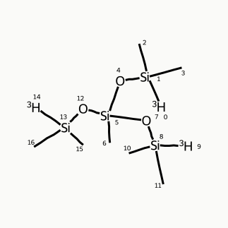 [3H][Si](C)(C)O[Si](C)(O[Si]([3H])(C)C)O[Si]([3H])(C)C